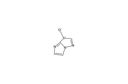 [O-][s+]1cnn2ccnc21